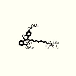 COCOc1ccc2c(c1)OCC(C)(c1ccccc1C(=O)OC)C2CCCCCCCCCO[Si](C)(C)C(C)(C)C